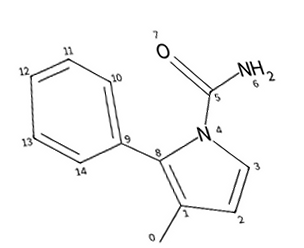 Cc1ccn(C(N)=O)c1-c1ccccc1